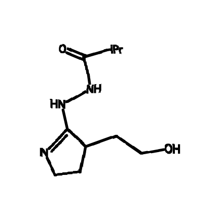 CC(C)C(=O)NNC1=NCCC1CCO